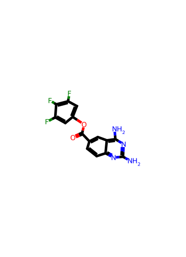 Nc1nc(N)c2cc(C(=O)Oc3cc(F)c(F)c(F)c3)ccc2n1